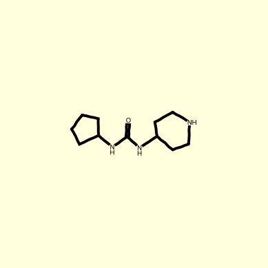 O=C(NC1CCCC1)NC1CCNCC1